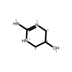 [NH]C1=NCC(O)CN1